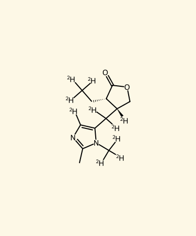 [2H]c1nc(C)n(C([2H])([2H])[2H])c1C([2H])([2H])[C@@]1([2H])COC(=O)[C@H]1CC([2H])([2H])[2H]